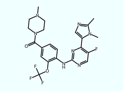 Cc1ncc(-c2nc(Nc3ccc(C(=O)N4CCN(C)CC4)cc3OC(F)(F)F)ncc2F)n1C